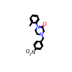 Cc1ccccc1N1CCN(Cc2ccc([N+](=O)[O-])cc2)CC1=O